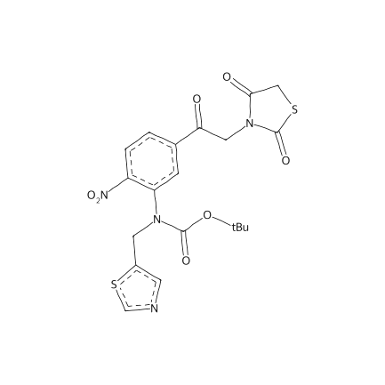 CC(C)(C)OC(=O)N(Cc1cncs1)c1cc(C(=O)CN2C(=O)CSC2=O)ccc1[N+](=O)[O-]